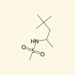 CC(CC(C)(C)C)NS(C)(=O)=O